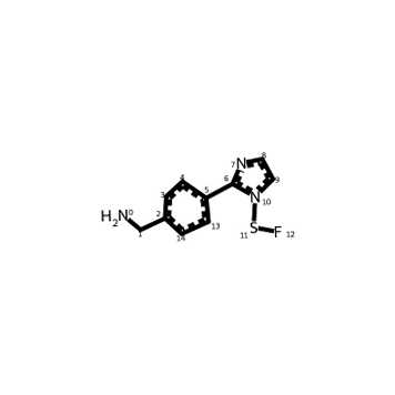 NCc1ccc(-c2nccn2SF)cc1